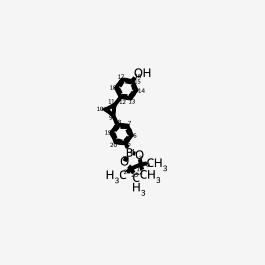 CC1(C)OB(c2ccc(C3CC3c3ccc(O)cc3)cc2)OC1(C)C